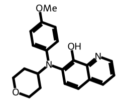 COc1ccc(N(c2ccc3cccnc3c2O)C2CCOCC2)cc1